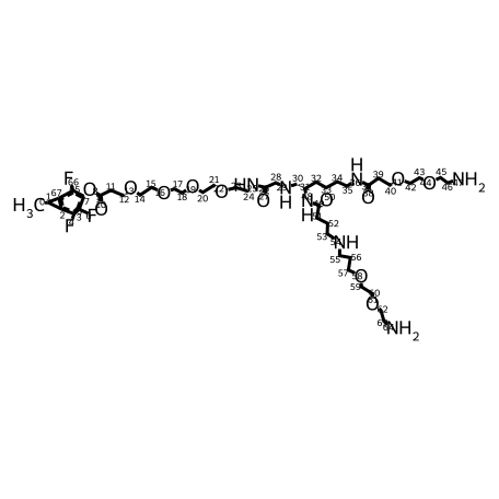 CC1c2c(F)c(F)c(OC(=O)CCOCCOCCOCCOCCNC(=O)CNC[C@H](CCCCNC(=O)CCOCCOCCN)NC(=O)CCCNCCCOCCOCCN)c(F)c21